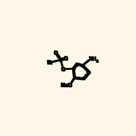 CCS(=O)(=O)Oc1cc(N)ccc1OC